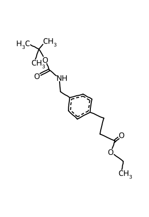 CCOC(=O)CCc1ccc(CNC(=O)OC(C)(C)C)cc1